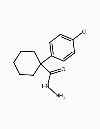 NNC(=O)C1(c2ccc(Cl)cc2)CCCCC1